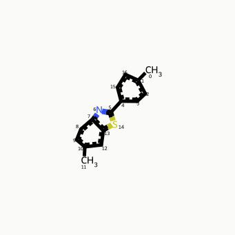 Cc1ccc(-c2nc3ccc(C)cc3s2)cc1